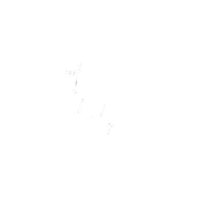 CC(C)(C)NC1CCC(NS(C)(=O)=O)CC1